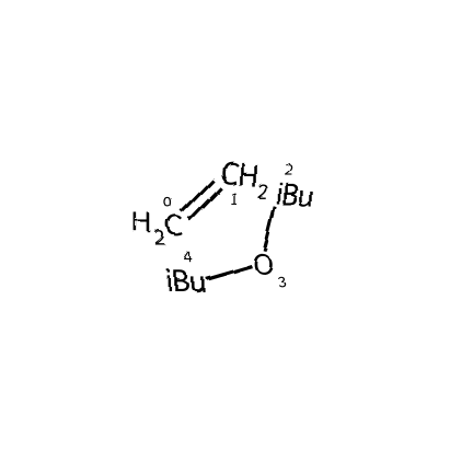 C=C.CCC(C)OC(C)CC